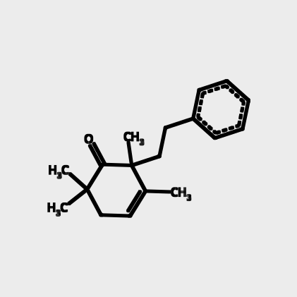 CC1=CCC(C)(C)C(=O)C1(C)CCc1ccccc1